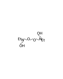 CCN(CCO)CCOCCOCCN(CC)CCO